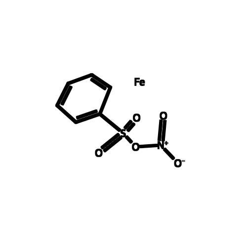 O=[N+]([O-])OS(=O)(=O)c1ccccc1.[Fe]